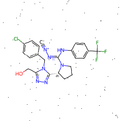 [C-]#[N+]/N=C(\Nc1ccc(C(F)(F)F)cc1)N1CCC[C@@H]1c1nnc(CO)n1Cc1ccc(Cl)cc1